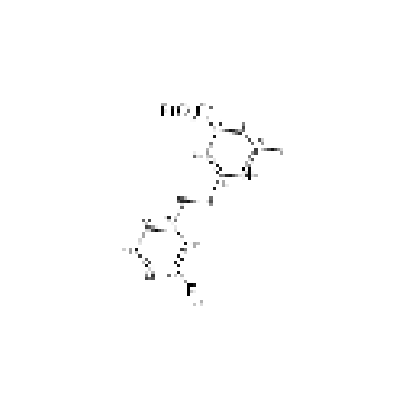 CCOC(=O)c1cc(C)nc(C=Cc2cccc(F)c2)c1